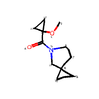 COC1(C(=O)N2CCC3(CC3)C2)CC1